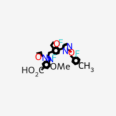 COc1cc(C(=O)O)cc2c1nc(Cc1c(F)cc(-c3nc(OCc4ccc(C)cc4F)ncc3F)c3c1CCO3)n2[C@@H]1CCO1